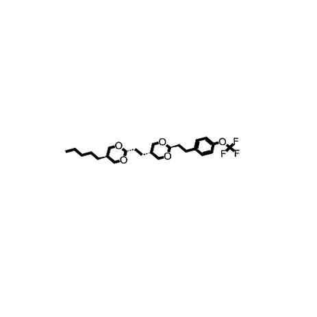 CCCCC[C@H]1CO[C@H](CC[C@H]2CO[C@H](CCc3ccc(OC(F)(F)F)cc3)OC2)OC1